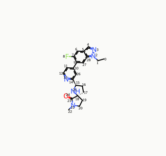 CCn1ncc2cc(F)c(-c3ccnc([C@H]4CC[C@@]5(CCN(C)C5=O)N4)c3)cc21